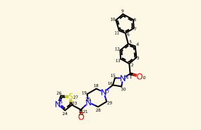 O=C(c1ccc(-c2ccccc2)cc1)N1CC(N2CCN(C(=O)c3cncs3)CC2)C1